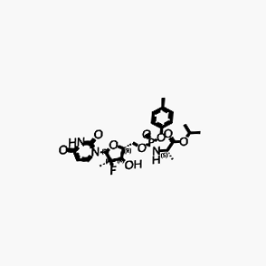 Cc1ccc(OP(=O)(N[C@@H](C)C(=O)OC(C)C)OC[C@H]2O[C@@H](n3ccc(=O)[nH]c3=O)[C@](C)(F)[C@@H]2O)cc1